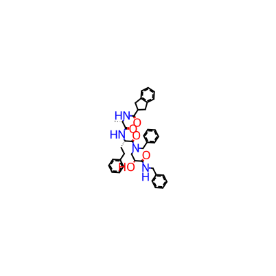 C[C@H](NC(=O)C1Cc2ccccc2C1)C(=O)N[C@@H](CCc1ccccc1)C(=O)N(Cc1ccccc1)C[C@H](O)C(=O)NCc1ccccc1